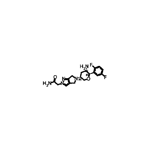 NC(=O)Cn1cc2c(n1)CN([C@H]1CO[C@H](c3cc(F)ccc3F)[C@@H](N)C1)C2